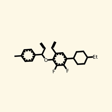 C=Cc1cc(C2CCC(CC)CC2)c(F)c(F)c1OC(C=C)c1ccc(C)cc1